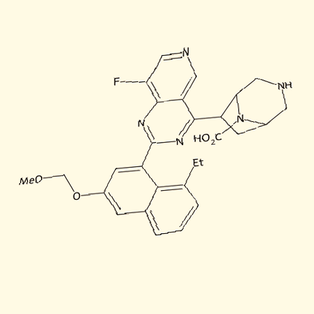 CCc1cccc2cc(OCOC)cc(-c3nc(C4CC5CNCC4N5C(=O)O)c4cncc(F)c4n3)c12